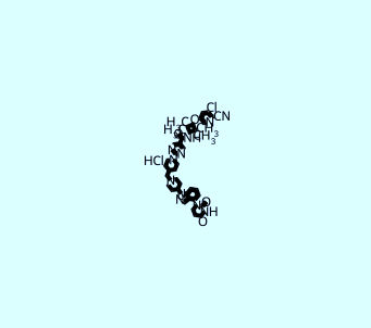 CC1(C)[C@H](NC(=O)c2cnc(N3CCC(CN4CCC(n5ncc6c(N7CCC(=O)NC7=O)cccc65)CC4)CC3)nc2)C(C)(C)[C@H]1Oc1cnc(C#N)c(Cl)c1.Cl